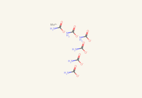 NC(=O)[O-].NC(=O)[O-].NC(=O)[O-].NC(=O)[O-].NC(=O)[O-].NC(=O)[O-].[Mo+6]